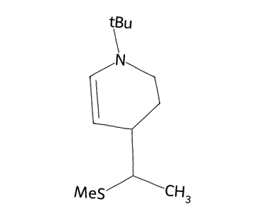 CSC(C)C1C=CN(C(C)(C)C)CC1